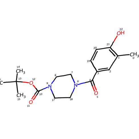 Cc1cc(C(=O)N2CCN(C(=O)OC(C)(C)C)CC2)ccc1O